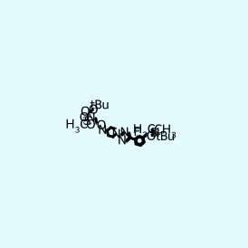 CC(C)(C)OC(=O)N(CCON=C1CCN(c2ncc(-c3cccc(CO[Si](C)(C)C(C)(C)C)c3F)cn2)CC1)S(C)(=O)=O